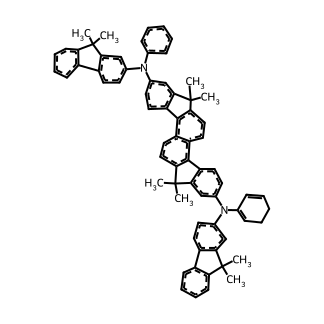 CC1(C)c2ccccc2-c2ccc(N(C3=CCCC=C3)c3ccc4c(c3)C(C)(C)c3ccc5c6c(ccc5c3-4)C(C)(C)c3cc(N(c4ccccc4)c4ccc5c(c4)C(C)(C)c4ccccc4-5)ccc3-6)cc21